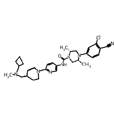 C[C@@H]1CN(c2ccc(C#N)c(Cl)c2)[C@@H](C)CN1C(=O)Nc1ccc(N2CCC(CN(C)C3CCC3)CC2)nc1